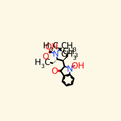 CC[C@@H](C1C(=O)c2ccccc2N1O)[C@H](CC)N(C(=O)O)C(C)(C)C